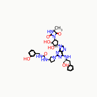 C[C@@H]1NC(=O)N([C@H]2C[C@@H](n3cnc4c(N[C@H](CO)Cc5ccccc5)nc(N5CC[C@@H](NC(=O)NCc6cccc(O)c6)C5)nc43)[C@H](O)[C@@H]2O)C1=O